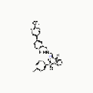 CC1=CC=C(S(=O)(=O)N2C3CC(C3)[C@H]2/C=C/NCc2cc(-c3cnc(C(F)(F)F)nc3)ccc2F)CC=C1